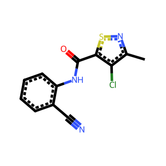 Cc1nsc(C(=O)Nc2ccccc2C#N)c1Cl